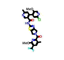 COc1cnc(Cl)cc1-c1cc(C)ncc1C(=O)Nc1nc2c(s1)CN(C(=O)c1nc(OC)c(C(F)F)cc1C)C2